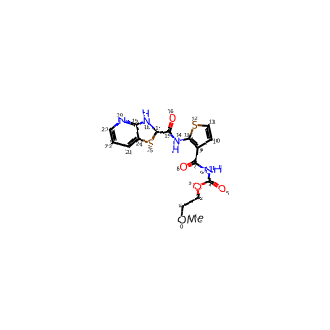 COCCOC(=O)NC(=O)c1ccsc1NC(=O)C1Nc2ncccc2S1